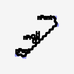 CCCCC/C=C\C/C=C\CCCCCCCCC(CCCCCCCC/C=C\C/C=C\CCCCC)NC(=O)OCCC